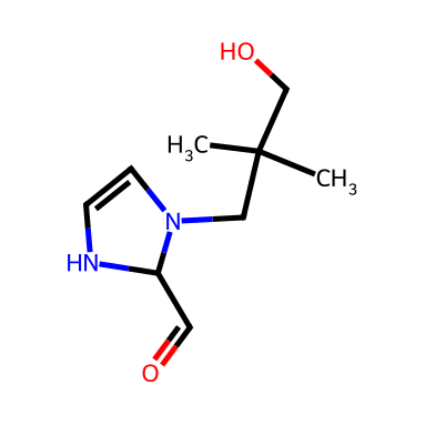 CC(C)(CO)CN1C=CNC1C=O